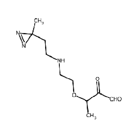 CC(OCCNCCC1(C)N=N1)C(=O)C=O